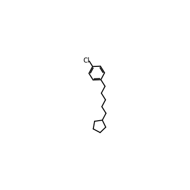 Clc1ccc(CCCCCC2CCCC2)cc1